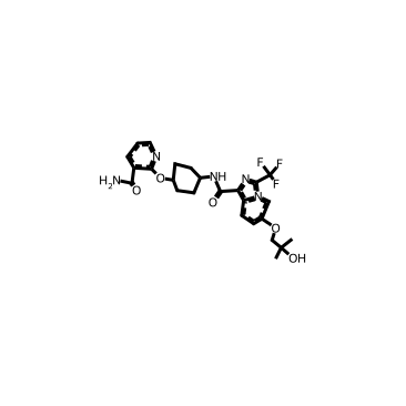 CC(C)(O)COc1ccc2c(C(=O)NC3CCC(Oc4ncccc4C(N)=O)CC3)nc(C(F)(F)F)n2c1